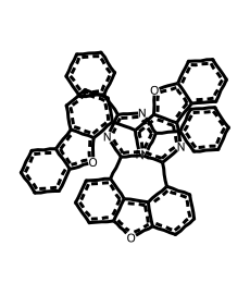 c1ccc(-c2nc(-c3ccccc3)nc(-c3cccc4oc5cccc(-c6nc(-c7cccc8c7oc7ccccc78)c7oc8ccccc8c7n6)c5c34)n2)cc1